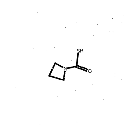 O=C(S)N1CCC1